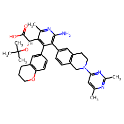 Cc1cc(N2CCc3cc(-c4c(N)nc(C)c([C@H](OC(C)(C)C)C(=O)O)c4-c4ccc5c(c4)CCCO5)ccc3C2)nc(C)n1